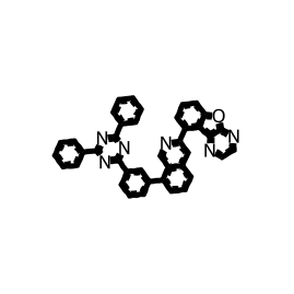 c1ccc(-c2nc(-c3ccccc3)nc(-c3cccc(-c4cccc5cc(-c6cccc7oc8nccnc8c67)ncc45)c3)n2)cc1